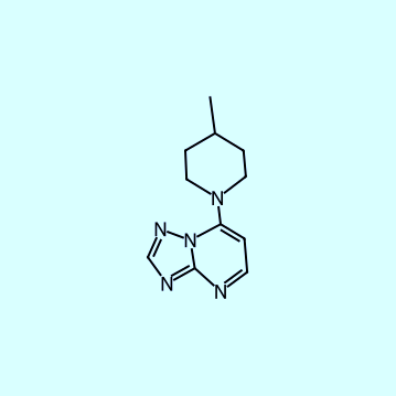 CC1CCN(c2ccnc3ncnn23)CC1